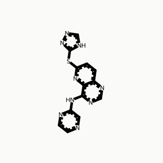 c1cnc(Nc2ncnc3ccc(Sc4nnc[nH]4)nc23)cn1